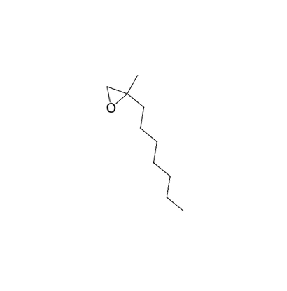 CCCCCCCC1(C)CO1